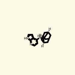 OC12CC3C[C@H](C1)C(Nc1ccnc4[nH]ccc14)[C@@H](C3)C2